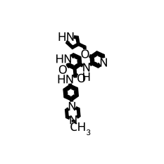 CN1CCN(c2ccc(NC(=O)c3c(Nc4cnccc4OCC4CCNC4)cc[nH]c3=O)cc2)CC1